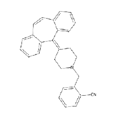 N#Cc1ccccc1CN1CCC(=C2c3ccccc3C=Cc3ccccc32)CC1